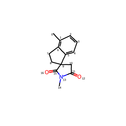 Cc1cccc2c1CCC21CC(=O)N(C)C1=O